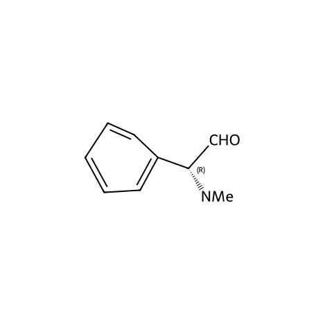 CN[C@@H](C=O)c1ccccc1